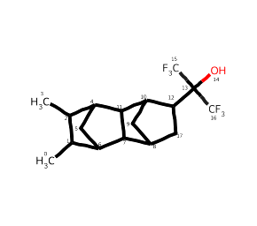 CC1C(C)C2CC1C1C3CC(C21)C(C(O)(C(F)(F)F)C(F)(F)F)C3